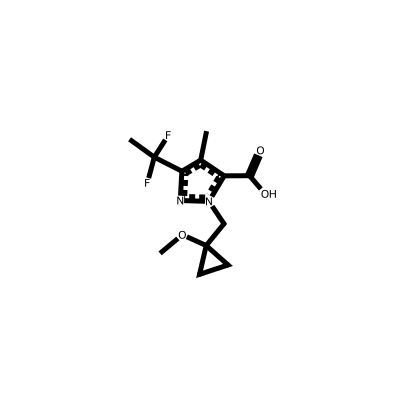 COC1(Cn2nc(C(C)(F)F)c(C)c2C(=O)O)CC1